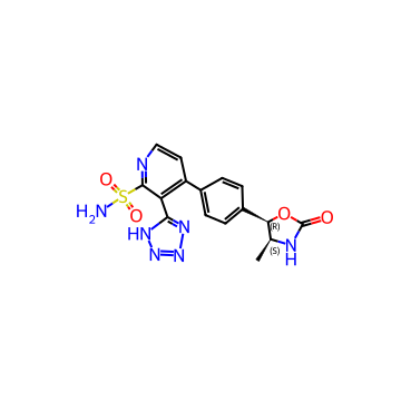 C[C@@H]1NC(=O)O[C@@H]1c1ccc(-c2ccnc(S(N)(=O)=O)c2-c2nnn[nH]2)cc1